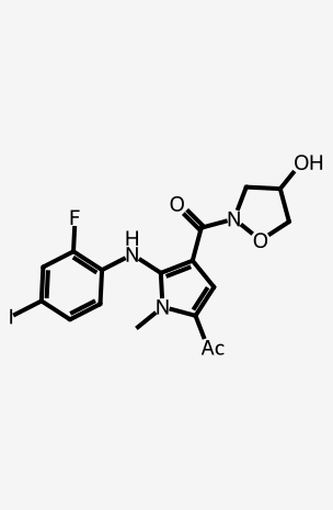 CC(=O)c1cc(C(=O)N2CC(O)CO2)c(Nc2ccc(I)cc2F)n1C